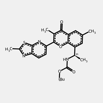 Cc1cc([C@@H](C)NC(=O)OC(C)(C)C)c2oc(-c3ccc4nc(C)sc4n3)c(C)c(=O)c2c1